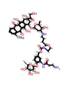 COc1cccc2c1C(=O)c1c(O)c3c(c(O)c1C2=O)C[C@@](O)(C(=O)CO)CC3OC1CC(NCCCC2OCCN2C(=O)OCc2ccc(OC3O[C@H](C)[C@@H](O)[C@H](O)[C@H]3O)c(NC(=O)CCN)c2)C(O)C(C)O1